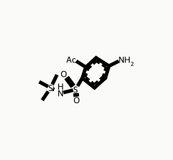 CC(=O)c1cc(N)ccc1S(=O)(=O)N[Si](C)(C)C